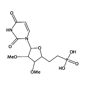 COC1C(CCP(=O)(O)O)OC(n2ccc(=O)[nH]c2=O)C1OC